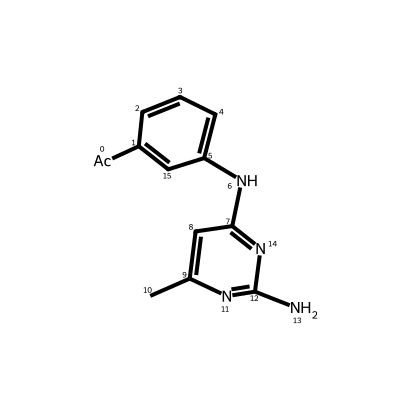 CC(=O)c1cccc(Nc2cc(C)nc(N)n2)c1